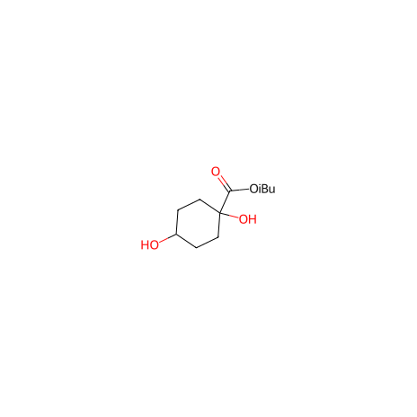 CC(C)COC(=O)C1(O)CCC(O)CC1